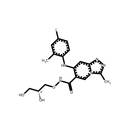 Cc1cc(I)ccc1Nc1cc2nnc(C)n2cc1C(=O)NOC[C@H](O)CO